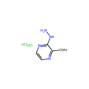 COc1nccnc1NN.Cl.Cl